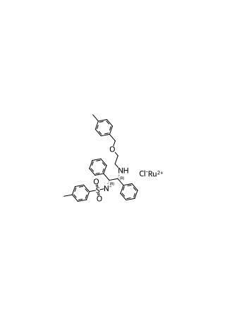 Cc1ccc(COCCN[C@H](c2ccccc2)[C@H]([N-]S(=O)(=O)c2ccc(C)cc2)c2ccccc2)cc1.[Cl-].[Ru+2]